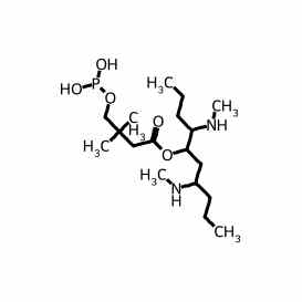 CCCC(CC(OC(=O)CC(C)(C)COP(O)O)C(CCC)NC)NC